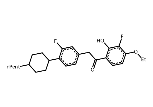 CCCCCC1CCC(c2ccc(CC(=O)c3ccc(OCC)c(F)c3O)cc2F)CC1